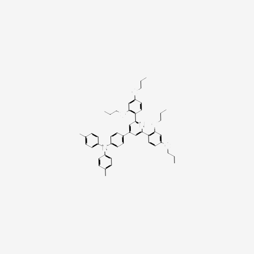 CCCOc1ccc(-c2cc(-c3ccc(N(c4ccc(C)cc4)c4ccc(C)cc4)cc3)cc(-c3ccc(OCCC)cc3OCCC)n2)c(OCCC)c1